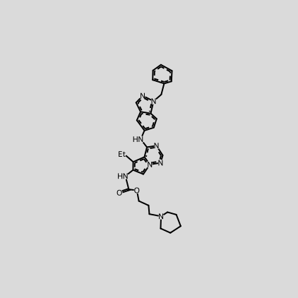 CCc1c(NC(=O)OCCCN2CCCCC2)cn2ncnc(Nc3ccc4c(cnn4Cc4ccccc4)c3)c12